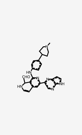 CN1CCC(c2ccc(Nc3nc(-c4cnc5[nH]ccc5n4)cc4c3C(C=O)NC=C4)cc2)CC1